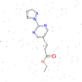 CCOC(=O)/C=C/c1cnc(-n2cccn2)nc1